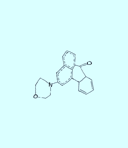 O=C1c2cccc3cc(N4CCOCC4)cc(c23)C2C=CC=CC12